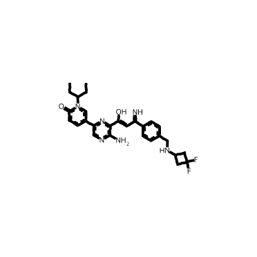 CCC(CC)n1cc(-c2cnc(N)c(/C(O)=C/C(=N)c3ccc(CNC4CC(F)(F)C4)cc3)n2)ccc1=O